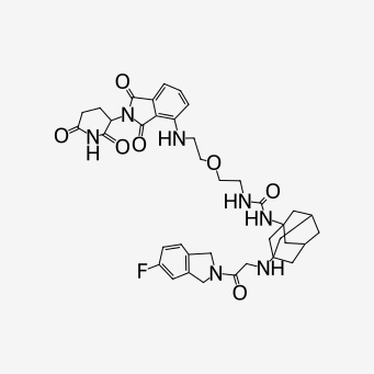 O=C1CCC(N2C(=O)c3cccc(NCCOCCNC(=O)NC45CC6CC(CC(NCC(=O)N7Cc8ccc(F)cc8C7)(C6)C4)C5)c3C2=O)C(=O)N1